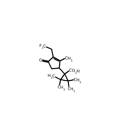 CC1=C(CC(F)(F)F)C(=O)CC1C1(C(=O)O)C(C)(C)C1(C)C